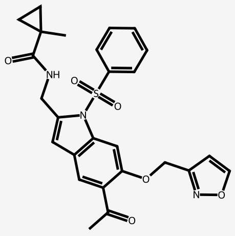 CC(=O)c1cc2cc(CNC(=O)C3(C)CC3)n(S(=O)(=O)c3ccccc3)c2cc1OCc1ccon1